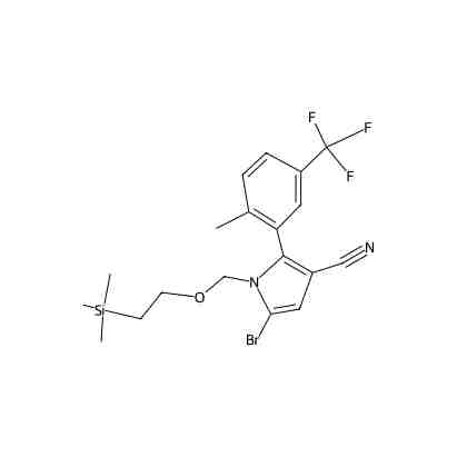 Cc1ccc(C(F)(F)F)cc1-c1c(C#N)cc(Br)n1COCC[Si](C)(C)C